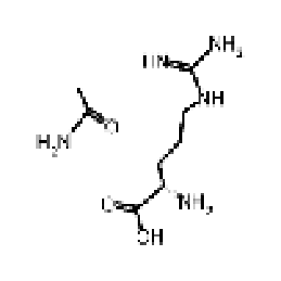 CC(N)=O.N=C(N)NCCC[C@H](N)C(=O)O